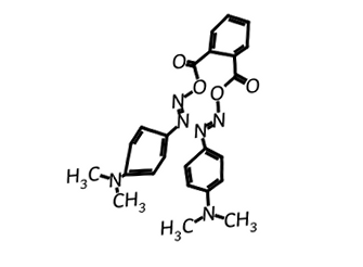 CN(C)c1ccc(N=NOC(=O)c2ccccc2C(=O)ON=Nc2ccc(N(C)C)cc2)cc1